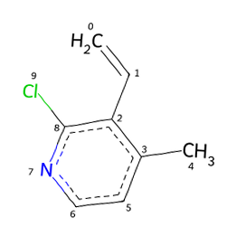 C=Cc1c(C)ccnc1Cl